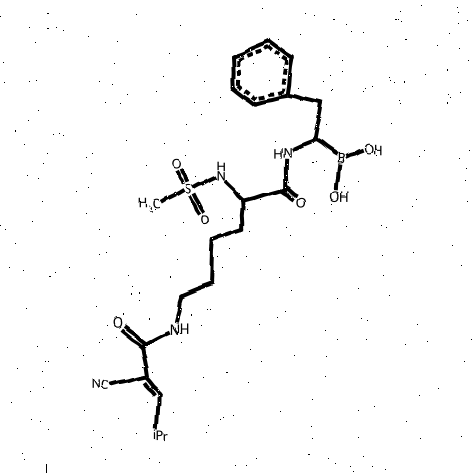 CC(C)C=C(C#N)C(=O)NCCCCC(NS(C)(=O)=O)C(=O)NC(Cc1ccccc1)B(O)O